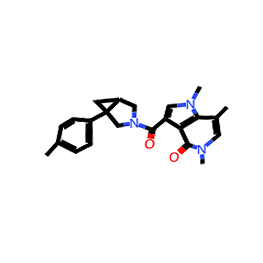 Cc1ccc(C23CC2CN(C(=O)c2cn(C)c4c(C)cn(C)c(=O)c24)C3)cc1